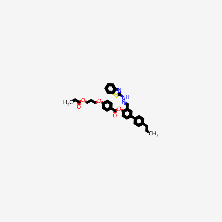 C=CC(=O)OCCCOc1ccc(C(=O)Oc2ccc(-c3ccc(CCC)cc3)cc2/C=N/Nc2nc3ccccc3s2)cc1